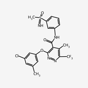 Cc1cc(Cl)cc(Oc2nnc(C(F)(F)F)c(C)c2C(=O)Nc2cccc(S(C)(=N)=O)c2)c1